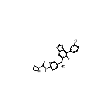 Cl.O=C(Nc1ccc(Cc2cc3scnc3c(-c3cccc(Cl)c3)c2F)cn1)[C@@H]1CCN1